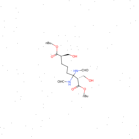 CCCCOC(=O)[C@@H](CO)CCCC(NC=O)(NC=O)[C@H](CO)C(=O)OCCCC